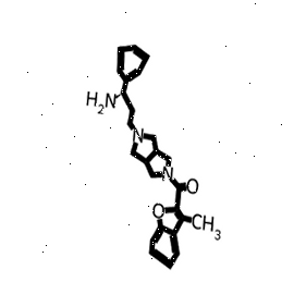 Cc1c(C(=O)N2CC3CN(CC[C@H](N)c4ccccc4)CC3C2)oc2ccccc12